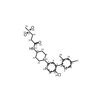 Cc1cnc(-c2cc(N3CCC(NC(=O)CCS(C)(=O)=O)CC3)ncc2Cl)c(C)c1